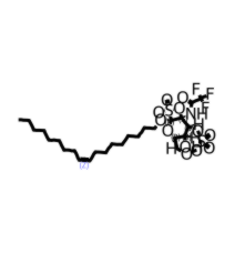 CCCCCCCC/C=C\CCCCCCCCO[C@@]12O[C@@H]3COOS(=O)(=O)O[C@@H]([C@@H]3O)[C@]1(NC(=O)C(F)(F)F)OS2(=O)=O